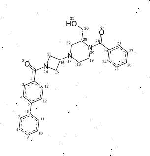 O=C(c1ccc(-c2ccccc2)cc1)N1CC(N2CCN(C(=O)c3ccccc3)C(CO)C2)C1